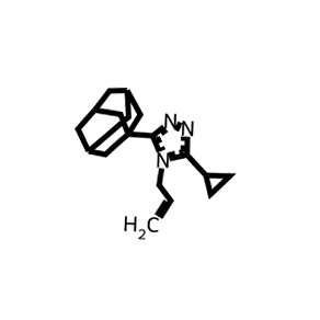 C=CCn1c(C2CC2)nnc1C12CC3CC(CC(C3)C1)C2